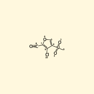 CS(=O)(=O)c1coc(C=O)c1Cl